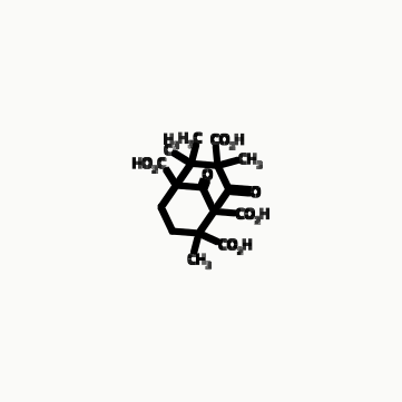 CC1(C(=O)O)CCC2(C(=O)O)C(=O)C1(C(=O)O)C(=O)C(C)(C(=O)O)C2(C)C